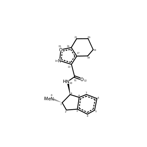 CN[C@H]1Cc2ccccc2[C@@H]1NC(=O)c1noc2c1CCCC2